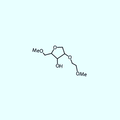 COCCOC1COC(COC)C1O